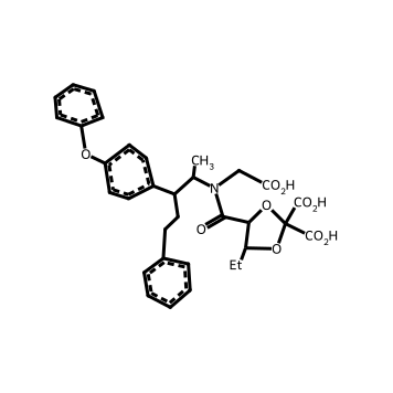 CCC1OC(C(=O)O)(C(=O)O)OC1C(=O)N(CC(=O)O)C(C)C(CCc1ccccc1)c1ccc(Oc2ccccc2)cc1